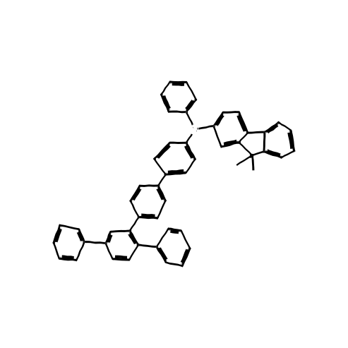 CC1(C)c2ccccc2-c2ccc(N(c3ccccc3)c3ccc(-c4ccc(-c5cc(-c6ccccc6)ccc5-c5ccccc5)cc4)cc3)cc21